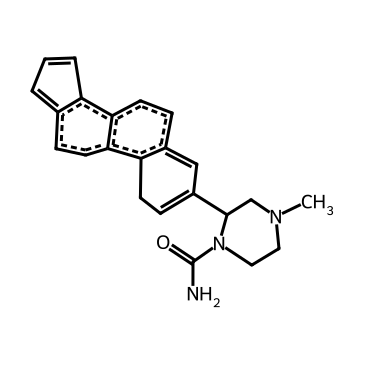 CN1CCN(C(N)=O)C(C2=CCc3c(ccc4c5c(ccc34)=CC=C5)=C2)C1